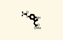 COC(=O)Cc1c[nH]c2ccc(SC(=O)N(C)C)cc12